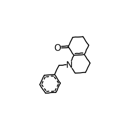 O=C1CCCC2=C1N(Cc1ccccc1)CCC2